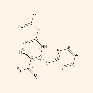 CC(=O)CC(=S)N[C@H](Cc1ccccc1)[C@H](O)C(=O)O